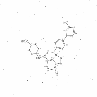 N#Cc1cccc(-c2ccc(Cn3ncc4c(Cl)ccc(C(=O)NC5CCC(C(=O)O)CC5)c43)cc2)c1